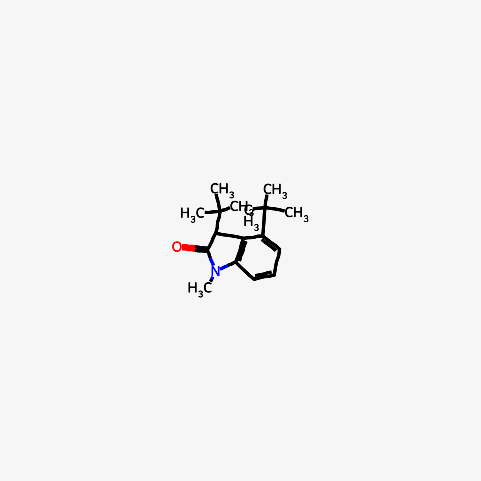 CN1C(=O)C(C(C)(C)C)c2c1cccc2C(C)(C)C